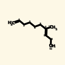 C=CCCCCC(C)=CCO